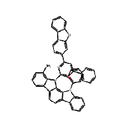 Nc1cccc2c3ccc4c5ccccc5n(-c5ccccc5)c4c3n(-c3nc(-c4ccccc4)cc(-c4ccc5c(c4)oc4ccccc45)n3)c12